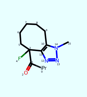 CC(C)C(=O)C1(F)CCCCCc2c1nnn2C